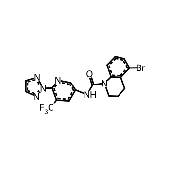 O=C(Nc1cnc(-n2nccn2)c(C(F)(F)F)c1)N1CCCc2c(Br)cccc21